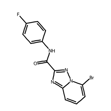 O=C(Nc1ccc(F)cc1)c1nc2cccc(Br)n2n1